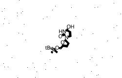 CC(C)(C)[Si](C)(C)OCC1=CC[C@H](N2C=CC(O)NC2=O)O1